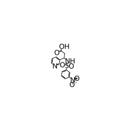 O=C(O)CC(NS(=O)(=O)c1cccc([N+](=O)[O-])c1)c1cccnc1